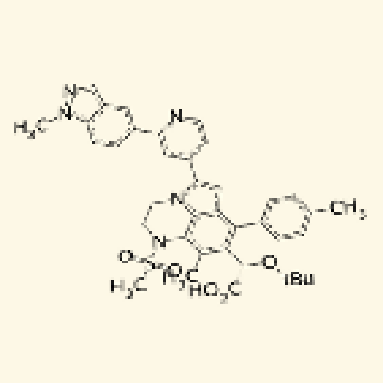 Cc1ccc(-c2c([C@H](OC(C)(C)C)C(=O)O)c(C)c3c4c2cc(-c2ccnc(-c5ccc6c(cnn6C)c5)c2)n4CCN3S(C)(=O)=O)cc1